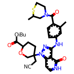 Cc1cc(Nc2nn(C3(CC#N)CCC(C(=O)OCC(C)C)OC3)c3cc[nH]c(=O)c23)ccc1C(=O)N1CCSC(C)C1